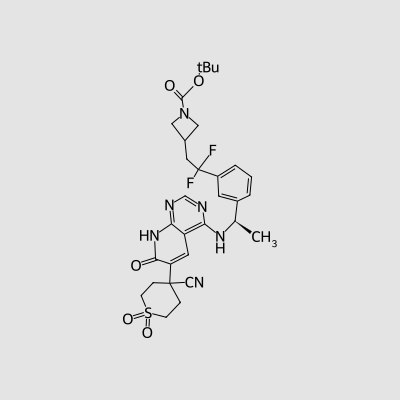 C[C@@H](Nc1ncnc2[nH]c(=O)c(C3(C#N)CCS(=O)(=O)CC3)cc12)c1cccc(C(F)(F)CC2CN(C(=O)OC(C)(C)C)C2)c1